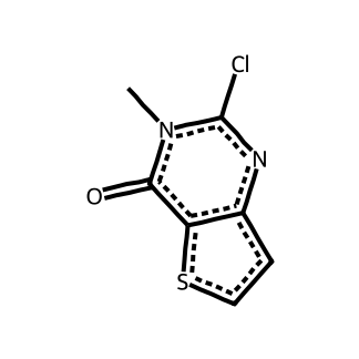 Cn1c(Cl)nc2ccsc2c1=O